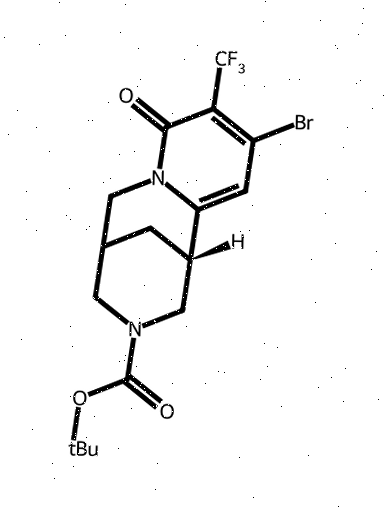 CC(C)(C)OC(=O)N1CC2C[C@@H](C1)c1cc(Br)c(C(F)(F)F)c(=O)n1C2